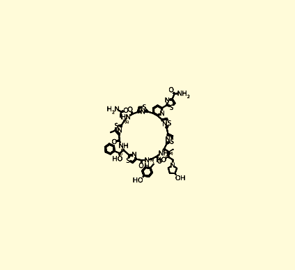 Cc1sc2nc1C(=O)N[C@@H]([C@H](O)c1ccccc1)c1nc(cs1)C(=O)N[C@@H](Cc1ccc(O)cc1)C(=O)N[C@@H]([C@@H](C)[C@@H](O)CN1CCC(O)C1)c1nc(cs1)-c1nc(cs1)-c1nc(-c3nc(C(N)=O)cs3)ccc1-c1nc(cs1)C(=O)N[C@H]2CC(N)=O